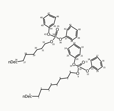 CCCCCCCCCCCCCCCCCCOP(=O)(Oc1ccccc1)Oc1ccccc1.CCCCCCCCCCCCCCCCOP(=O)(Oc1ccccc1)Oc1ccccc1